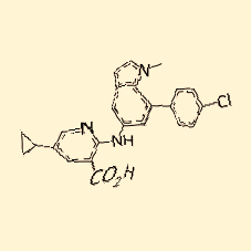 Cn1ccc2cc(Nc3ncc(C4CC4)cc3C(=O)O)cc(-c3ccc(Cl)cc3)c21